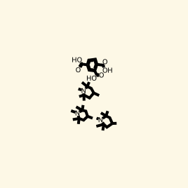 CC1CC(C)(C)N(C)C(C)(C)C1.CC1CC(C)(C)N(C)C(C)(C)C1.CC1CC(C)(C)N(C)C(C)(C)C1.O=C(O)c1ccc(C(=O)O)c(C(=O)O)c1